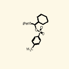 CCCC(C)C(OS(=O)(=O)c1ccc(C)cc1)C1CCCCC1